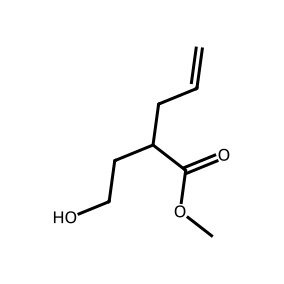 C=CCC(CCO)C(=O)OC